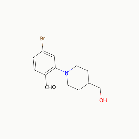 O=Cc1ccc(Br)cc1N1CCC(CO)CC1